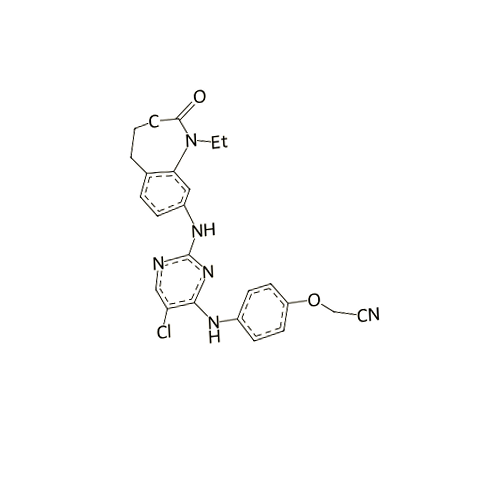 CCN1C(=O)CCCc2ccc(Nc3ncc(Cl)c(Nc4ccc(OCC#N)cc4)n3)cc21